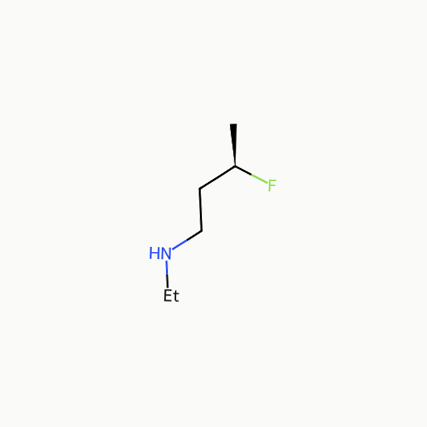 CCNCC[C@@H](C)F